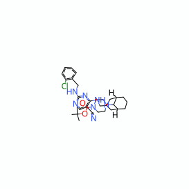 CC(C)(C)OC(=O)N1CCN(C2[C@@H]3CCC[C@H]2CC(CNc2nc(NCc4ccccc4Cl)ncc2C#N)C3)CC1